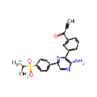 C#CC(=O)c1cccc(-c2nc(-c3ccc(S(=O)(=O)C(C)C)cc3)cnc2N)c1